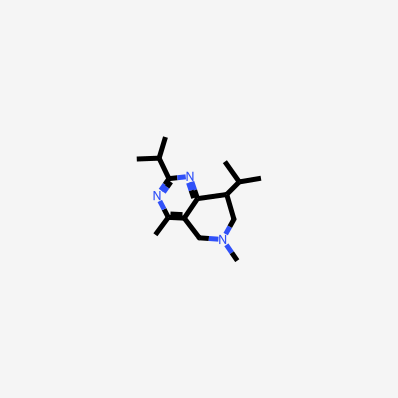 Cc1nc(C(C)C)nc2c1CN(C)CC2C(C)C